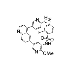 [CH2]c1ccc(-c2ccnc3ccc(-c4cnc(OC)c(NS(=O)(=O)c5ccc(F)cc5F)c4)cc23)cn1